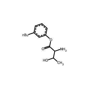 CCCCc1cccc(OC(=O)C(N)C(C)O)c1